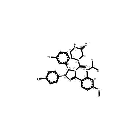 COc1ccc(C2=N[C@@H](c3ccc(Cl)cc3)[C@@H](c3cccc(F)c3)N2C(=O)N2CCNC(=O)C2)c(OC(C)C)c1